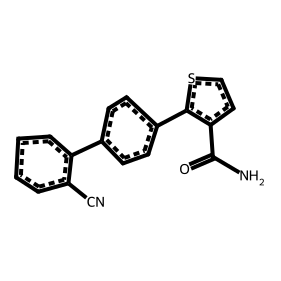 N#Cc1ccccc1-c1ccc(-c2sccc2C(N)=O)cc1